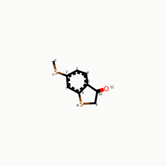 CSc1ccc2c(c1)SCC2=O